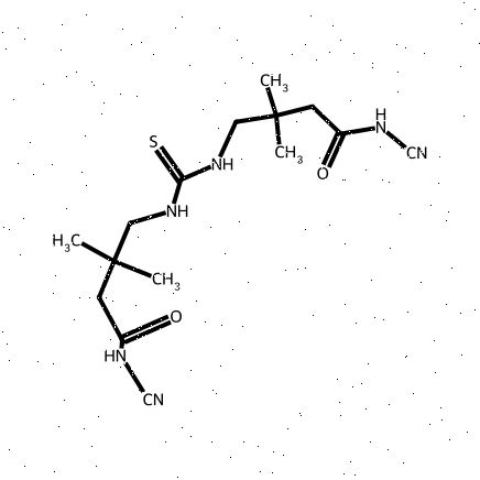 CC(C)(CNC(=S)NCC(C)(C)CC(=O)NC#N)CC(=O)NC#N